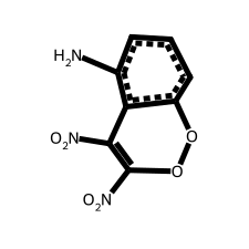 Nc1cccc2c1C([N+](=O)[O-])=C([N+](=O)[O-])OO2